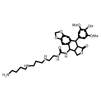 COc1cc(C2c3cc4c(cc3C(NC(=O)NCCNCCCNCCCCN)C3COC(=O)C23)OCO4)cc(OC)c1O